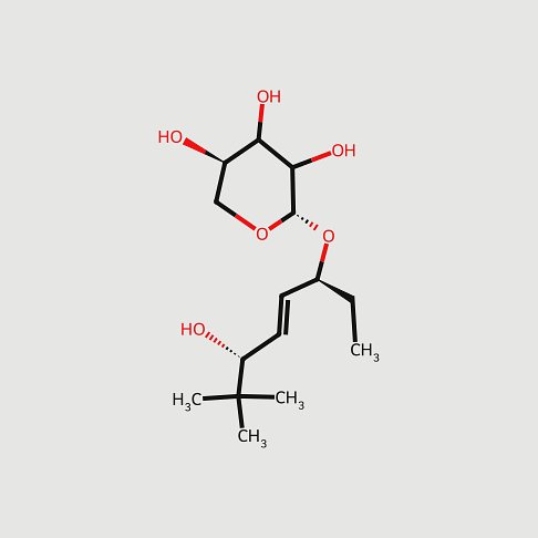 CC[C@@H](/C=C/[C@@H](O)C(C)(C)C)O[C@@H]1OC[C@@H](O)C(O)C1O